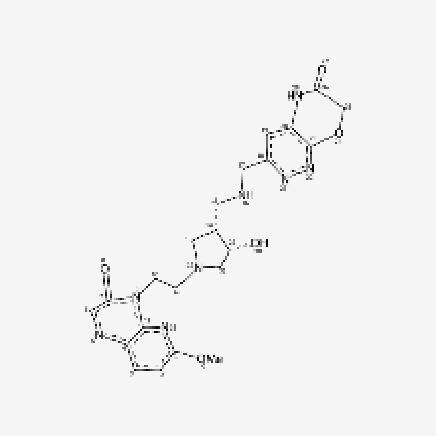 COc1ccc2ncc(=O)n(CCN3C[C@H](CNCc4cc5c(nn4)OCC(=O)N5)[C@H](O)C3)c2n1